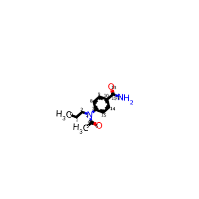 CCCN(C(C)=O)c1ccc(C(N)=O)cc1